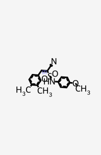 COc1ccc(NS(=O)(=O)/C(C#N)=C\c2ccc(C)c(C)c2)cc1